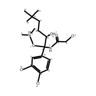 C[SiH](C)OC(NC(=O)CCl)(c1ccc(Cl)c(Cl)c1)[C@H](O)CCC(C)(C)C